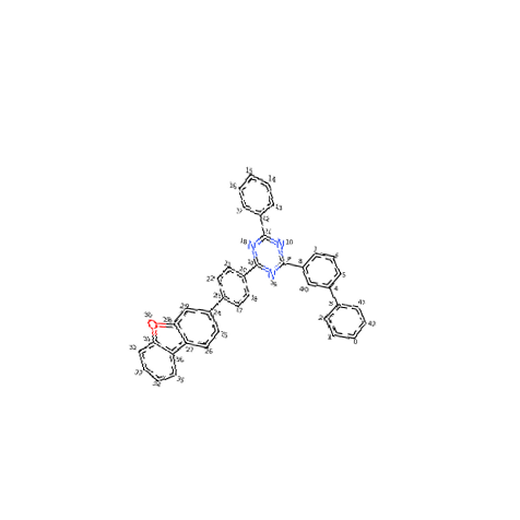 c1ccc(-c2cccc(-c3nc(-c4ccccc4)nc(-c4ccc(-c5ccc6c(c5)oc5ccccc56)cc4)n3)c2)cc1